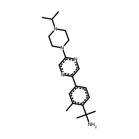 Cc1cc(-c2cnc(N3CCN(C(C)C)CC3)cn2)ccc1C(C)(C)N